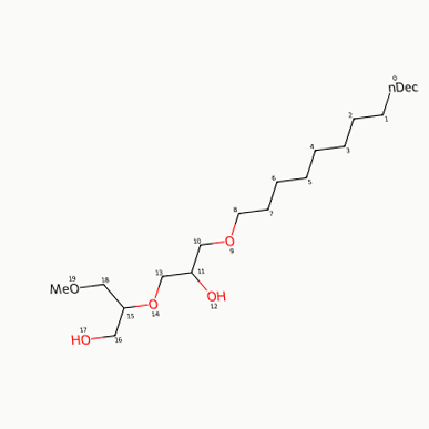 CCCCCCCCCCCCCCCCCCOCC(O)COC(CO)COC